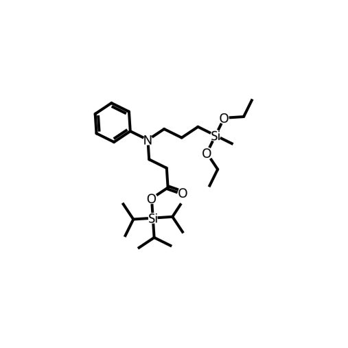 CCO[Si](C)(CCCN(CCC(=O)O[Si](C(C)C)(C(C)C)C(C)C)c1ccccc1)OCC